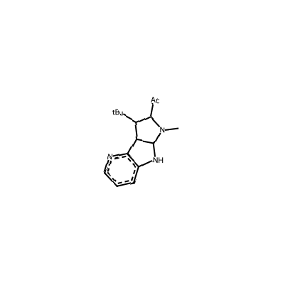 CC(=O)C1C(C(C)(C)C)C2c3ncccc3NC2N1C